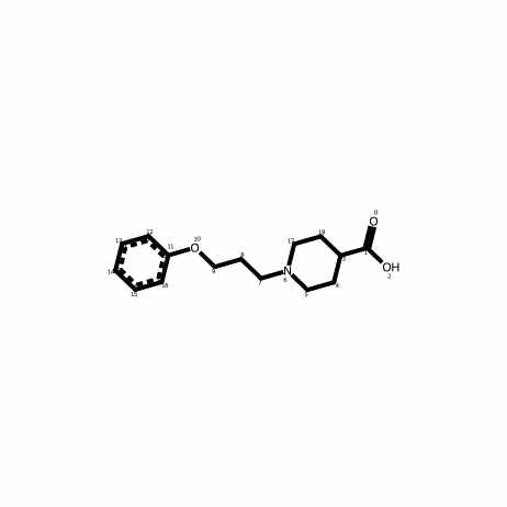 O=C(O)C1CCN(CCCOc2ccccc2)CC1